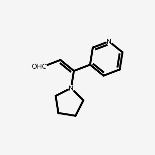 O=CC=C(c1cccnc1)N1CCCC1